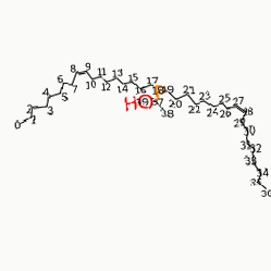 CCCCCCCC/C=C\CCCCCCCCP(CCCCCCCC/C=C\CCCCCCCC)C(C)O